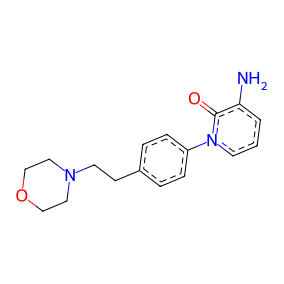 Nc1cccn(-c2ccc(CCN3CCOCC3)cc2)c1=O